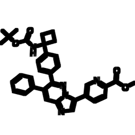 COC(=O)c1ccc(-c2cnc3cc(-c4ccccc4)c(-c4ccc(C5(NC(=O)OC(C)(C)C)CCC5)cc4)nn23)cn1